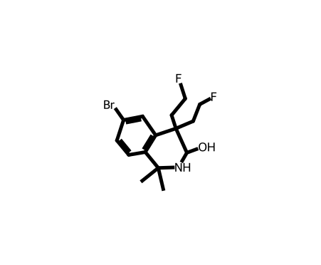 CC1(C)NC(O)C(CCF)(CCF)c2cc(Br)ccc21